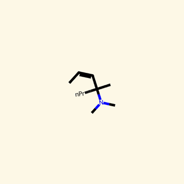 C/C=C\C(C)(CCC)N(C)C